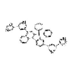 c1ccc(C2(c3ccccc3)c3cc(-c4cncc(-c5cnco5)c4)ccc3-c3c2cc(-c2cncc(-c4cnco4)c2)c2ccccc32)cc1